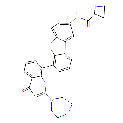 O=C(Nc1ccc2sc3c(-c4cccc5c(=O)cc(N6CCOCC6)oc45)cccc3c2c1)C1CCN1